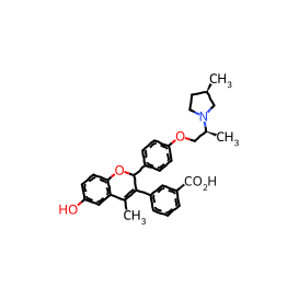 CC1=C(c2cccc(C(=O)O)c2)C(c2ccc(OC[C@H](C)N3CC[C@@H](C)C3)cc2)Oc2ccc(O)cc21